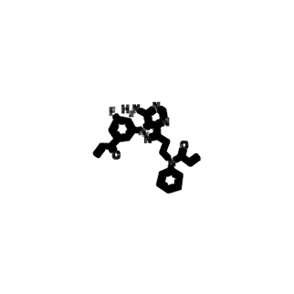 C=CC(=O)c1cc(F)cc(-n2nc(CCN(C(=O)C=C)c3ccccc3)c3ncnc(N)c32)c1